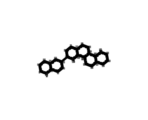 c1cnc2ccc(-c3ccc4ccc5c(ccc6cccnc65)c4n3)cc2c1